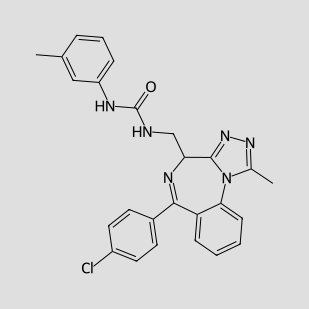 Cc1cccc(NC(=O)NCC2N=C(c3ccc(Cl)cc3)c3ccccc3-n3c(C)nnc32)c1